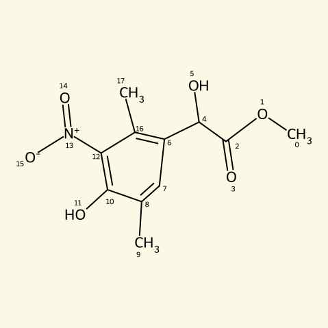 COC(=O)C(O)c1cc(C)c(O)c([N+](=O)[O-])c1C